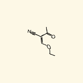 CCOC=C(C#N)C(C)=O